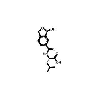 CC(C)C[C@H](NC(=O)c1ccc2c(c1)B(O)OC2)C(=O)O